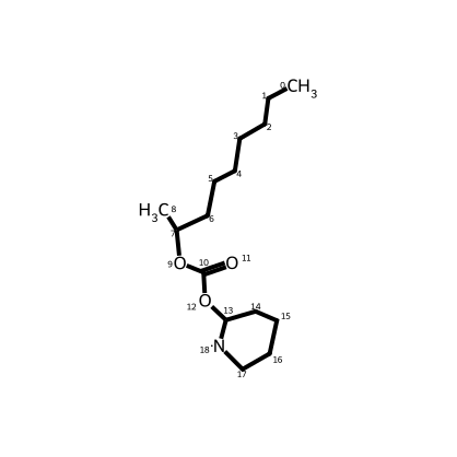 CCCCCCCC(C)OC(=O)OC1CCCC[N]1